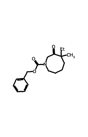 CCC1(C)CCCCN(C(=O)OCc2ccccc2)CC1=O